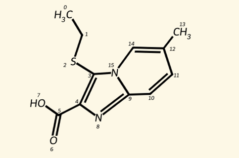 CCSc1c(C(=O)O)nc2ccc(C)cn12